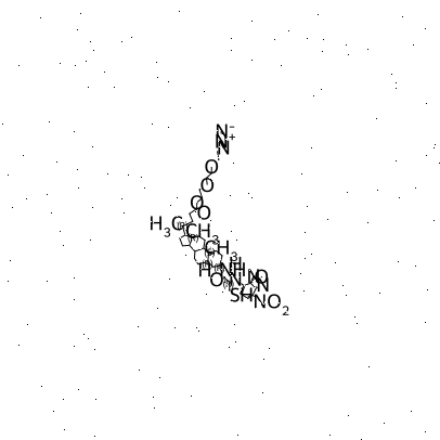 C[C@H](CCC(=O)OCCOCCOCCN=[N+]=[N-])C1CCC2C3CC[C@@H]4C[C@H](NC(=O)[C@H](CS)Nc5ccc([N+](=O)[O-])c6nonc56)CC[C@]4(C)C3CC[C@@]21C